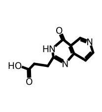 O=C(O)CCc1nc2ccncc2c(=O)[nH]1